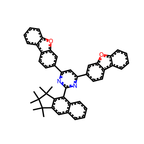 CC1(C)c2cc3ccccc3c(-c3nc(-c4ccc5c(c4)oc4ccccc45)cc(-c4ccc5c(c4)oc4ccccc45)n3)c2C(C)(C)C1(C)C